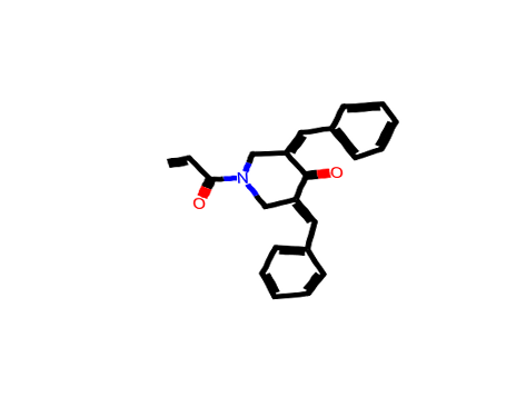 C=CC(=O)N1C/C(=C/c2ccccc2)C(=O)/C(=C/c2ccccc2)C1